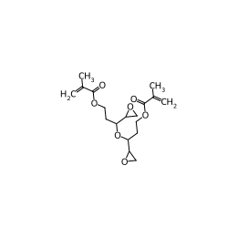 C=C(C)C(=O)OCCC(OC(CCOC(=O)C(=C)C)C1CO1)C1CO1